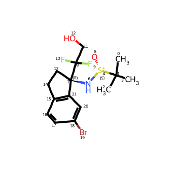 CC(C)(C)[S@@+]([O-])N[C@]1(C(F)(F)CO)CCc2ccc(Br)cc21